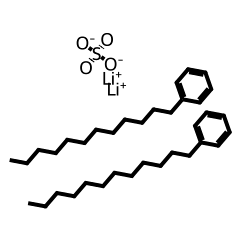 CCCCCCCCCCCCc1ccccc1.CCCCCCCCCCCCc1ccccc1.O=S(=O)([O-])[O-].[Li+].[Li+]